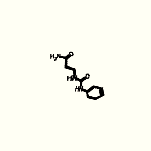 NC(=O)CCNC(=O)Nc1ccccc1